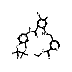 CCNC(=O)c1cc(CNc2cc(F)c(F)cc2C(=O)Nc2ccc3c(c2)OC(F)(F)C(F)(F)O3)ccn1